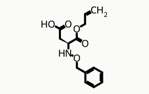 C=CCOC(=O)[C@H](CC(=O)O)NOCc1ccccc1